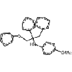 COc1ccc(NC(CSc2ccccc2)(Cc2ccccc2)c2ccccc2)cc1